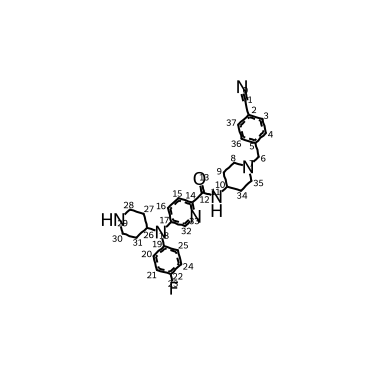 N#Cc1ccc(CN2CCC(NC(=O)c3ccc(N(c4ccc(F)cc4)C4CCNCC4)cn3)CC2)cc1